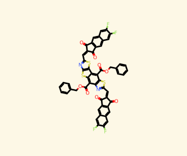 O=C1C(=Cc2nc3c(C(=O)OCc4ccccc4)c4sc5nc(C=C6C(=O)c7cc8cc(F)c(F)cc8cc7C6=O)sc5c4c(C(=O)OCc4ccccc4)c3s2)C(=O)c2cc3cc(F)c(F)cc3cc21